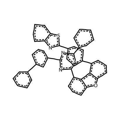 c1ccc(-c2cccc(-c3nc(-c4ccccc4)nc(-c4cccc5oc6cccc(-c7ccc(-c8nc9ccccc9s8)cc7)c6c45)n3)c2)cc1